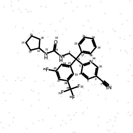 N#Cc1ccc(C(CNC(=O)NC2CCCC2)(c2ccccc2)c2cc(F)cc(C(F)(F)F)c2)nc1